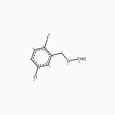 O=COCc1cc(Cl)ccc1F